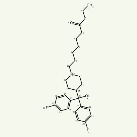 CCOC(=O)CCCCCCN1CCC(C(O)(c2ccc(F)cc2)c2ccc(F)cc2)CC1